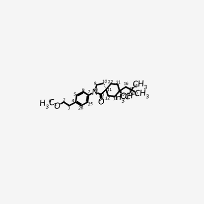 COCCc1ccc(N2CC[C@]3(CC[C@@](O)(CC(C)(C)C)CC3)C2=O)cc1